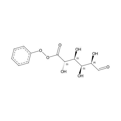 O=C[C@H](O)[C@@H](O)[C@H](O)[C@H](O)C(=O)OOc1ccccc1